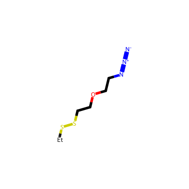 CCSSCCOCCN=[N+]=[N-]